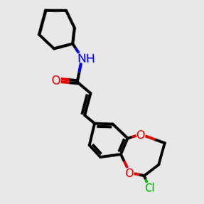 O=C(C=Cc1ccc2c(c1)OCCC(Cl)O2)NC1CCCCC1